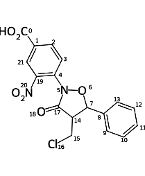 O=C(O)c1ccc(N2OC(c3ccccc3)C(CCl)C2=O)c([N+](=O)[O-])c1